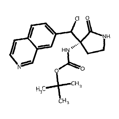 CC(C)(C)OC(=O)N[C@@]1(C(Cl)c2ccc3ccncc3c2)CCNC1=O